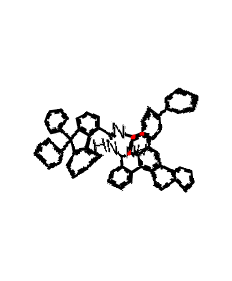 c1ccc(-c2ccc(C3N=C(c4cccc5c4-c4ccccc4C5(c4ccccc4)c4ccccc4)NC(c4ccccc4-c4c5ccccc5cc5c4ccc4ccccc45)N3)cc2)cc1